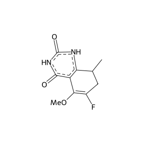 COC1=C(F)CC(C)c2[nH]c(=O)[nH]c(=O)c21